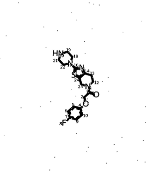 O=C(COc1ccc(F)cc1)N1CCc2nc(N3CCNCC3)sc2C1